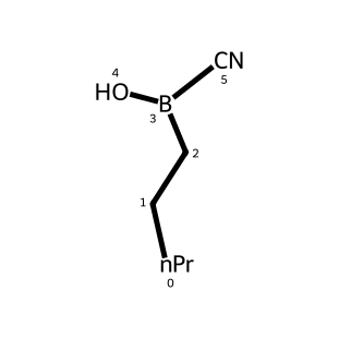 CCCCCB(O)C#N